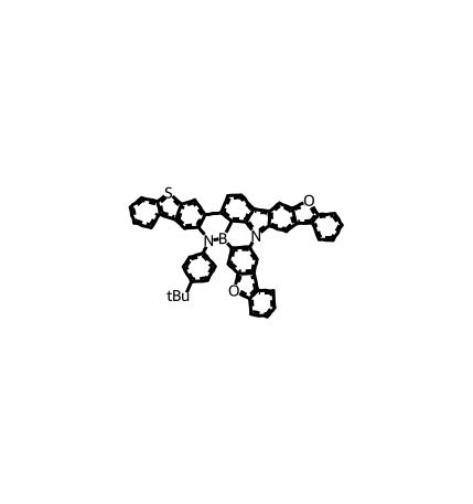 CC(C)(C)c1ccc(N2B3c4cc5oc6ccccc6c5cc4-n4c5cc6c(cc5c5ccc(c3c54)-c3cc4sc5ccccc5c4cc32)oc2ccccc26)cc1